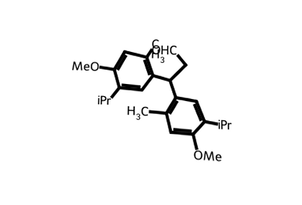 COc1cc(C)c(C(CC=O)c2cc(C(C)C)c(OC)cc2C)cc1C(C)C